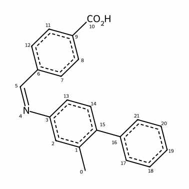 Cc1cc(/N=C\c2ccc(C(=O)O)cc2)ccc1-c1ccccc1